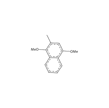 COc1cc(C)c(OC)c2ccccc12